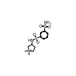 C[N+]1(C)CCC(NS(=O)(=O)c2cc[c]c(S(N)(=O)=O)c2)C1